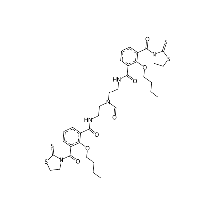 CCCCOc1c(C(=O)NCCN(C=O)CCNC(=O)c2cccc(C(=O)N3CCSC3=S)c2OCCCC)cccc1C(=O)N1CCSC1=S